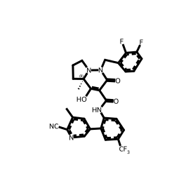 Cc1cc(-c2cc(C(F)(F)F)ccc2NC(=O)C2=C(O)[C@@]3(C)CCCN3N(Cc3cccc(F)c3F)C2=O)cnc1C#N